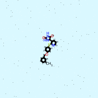 Cc1cccc(COc2ccc(Sc3ncccc3C3NC(=O)NC3=O)cc2)c1